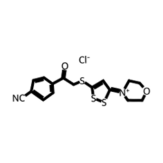 N#Cc1ccc(C(=O)CSc2cc(=[N+]3CCOCC3)ss2)cc1.[Cl-]